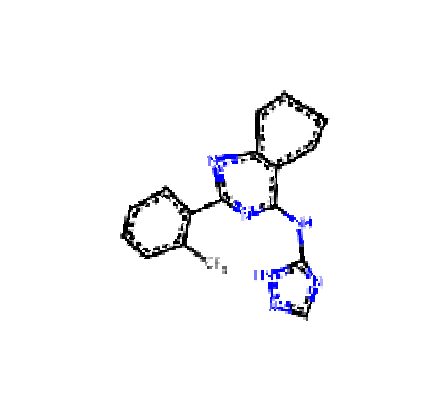 FC(F)(F)c1ccccc1-c1nc(Nc2ncn[nH]2)c2ccccc2n1